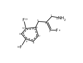 NCC(=CF)Cc1ccc(F)cc1F